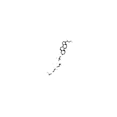 CC(CCO)C1CCC2C3CC=C4CC(OC(=O)C(C)(C)COC(C)(C)CCNC(=O)CSCC(N)C(=O)O)CCC4(C)C3CCC12C